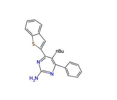 CCCCc1c(-c2ccccc2)nc(N)nc1-c1cc2ccccc2s1